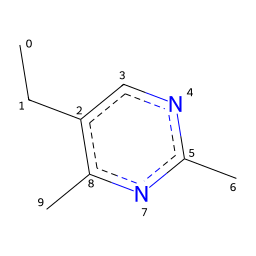 CCc1cnc(C)nc1C